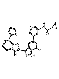 O=C(Nc1cncc(-c2cc(F)c3[nH]nc(-c4nc5c(-c6cccs6)nccc5[nH]4)c3c2)c1)C1CC1